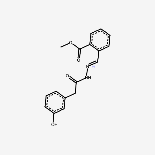 COC(=O)c1ccccc1/C=N/NC(=O)Cc1cccc(O)c1